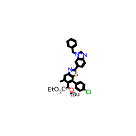 CCOC(=O)[C@@H](OC(C)(C)C)c1c(C)cc2nc(-c3ccc4ncn(Cc5ccccc5)c4c3)sc2c1-c1ccc(Cl)cc1